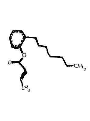 C/C=C/C(=O)Oc1ccccc1CCCCCCC